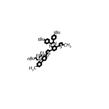 CCCCC(CC)C[Si]1(CC(CC)CCCC)c2cc(C)ccc2-c2ccc(-c3ccc(-c4ccc(-c5ccc(C)s5)c5nc(-c6ccc(C(C)(C)C)cc6)c(-c6ccc(C(C)(C)C)cc6)nc45)s3)cc21